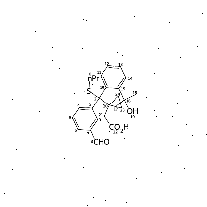 CCCSC(c1cccc(C=O)c1)(c1ccccc1C(C)(C)O)C1(CC(=O)O)CC1